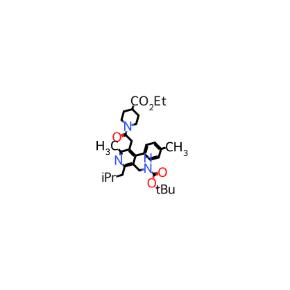 CCOC(=O)C1CCN(C(=O)Cc2c(C)nc(CC(C)C)c(CNC(=O)OC(C)(C)C)c2-c2ccc(C)cc2)CC1